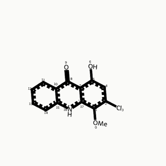 COc1c(Cl)cc(O)c2c(=O)c3ccccc3[nH]c12